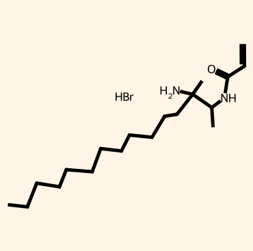 Br.C=CC(=O)NC(C)C(C)(N)CCCCCCCCCCCC